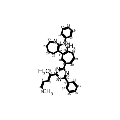 C/C=C\C=C(/C)c1nc(C2=CC(C3=C(Nc4ccccc4)N=CCCC3)=C(C)CC=C2)nc(-c2ccccc2)n1